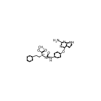 COC(=O)[C@H](CCc1ccccc1)NC(=O)Nc1ccc(Oc2nc(N)nc3[nH]ccc23)cc1